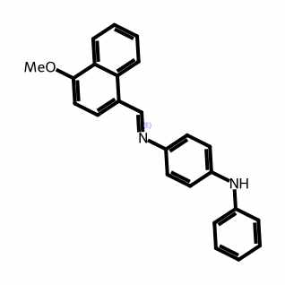 COc1ccc(/C=N/c2ccc(Nc3ccccc3)cc2)c2ccccc12